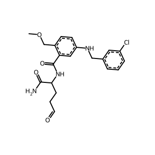 COCc1ccc(NCc2cccc(Cl)c2)cc1C(=O)NC(CCC=O)C(N)=O